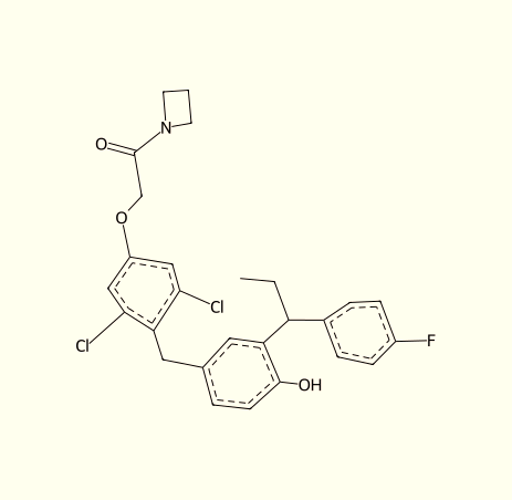 CCC(c1ccc(F)cc1)c1cc(Cc2c(Cl)cc(OCC(=O)N3CCC3)cc2Cl)ccc1O